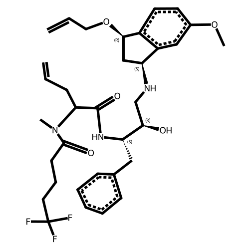 C=CCO[C@@H]1C[C@H](NC[C@@H](O)[C@H](Cc2ccccc2)NC(=O)C(CC=C)N(C)C(=O)CCCC(F)(F)F)c2cc(OC)ccc21